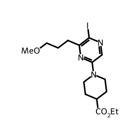 CCOC(=O)C1CCN(c2cnc(I)c(CCCOC)n2)CC1